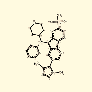 Cc1nnn(C)c1-c1cnc2c3ccc(S(N)(=O)=O)nc3n([C@H](c3ccccc3)C3CCOCC3)c2c1